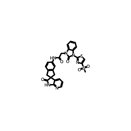 CS(=O)(=O)c1csc(-n2c(=O)n(CC(=O)Nc3ccc4c(c3)CC3(C4)C(=O)Nc4ncccc43)c3ccccc32)n1